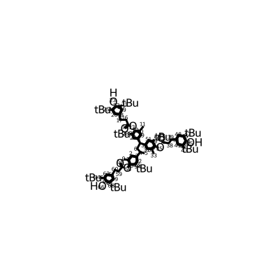 Cc1cc(C(C)CC(c2cc(C)c(OC(=O)CCc3cc(C(C)(C)C)c(O)c(C(C)(C)C)c3)c(C(C)(C)C)c2)c2cc(C)c(OC(=O)CCc3cc(C(C)(C)C)c(O)c(C(C)(C)C)c3)c(C(C)(C)C)c2)cc(C(C)(C)C)c1OC(=O)CCc1cc(C(C)(C)C)c(O)c(C(C)(C)C)c1